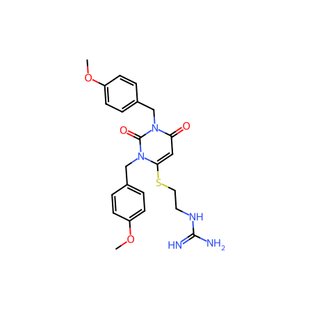 COc1ccc(Cn2c(SCCNC(=N)N)cc(=O)n(Cc3ccc(OC)cc3)c2=O)cc1